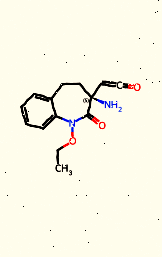 CCON1C(=O)[C@@](N)(C=C=O)CCc2ccccc21